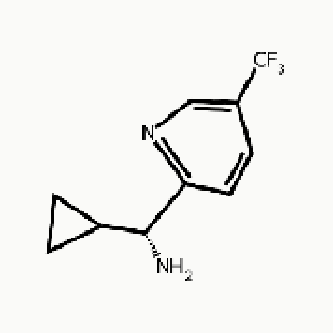 N[C@@H](c1ccc(C(F)(F)F)cn1)C1CC1